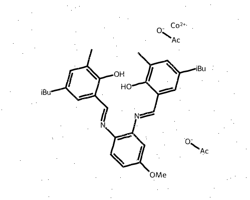 CC(=O)[O-].CC(=O)[O-].CCC(C)c1cc(C)c(O)c(C=Nc2ccc(OC)cc2N=Cc2cc(C(C)CC)cc(C)c2O)c1.[Co+2]